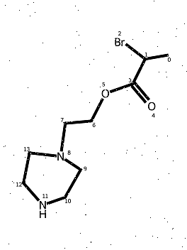 CC(Br)C(=O)OCCN1CCNCC1